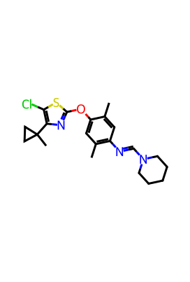 Cc1cc(Oc2nc(C3(C)CC3)c(Cl)s2)c(C)cc1/N=C/N1CCCCC1